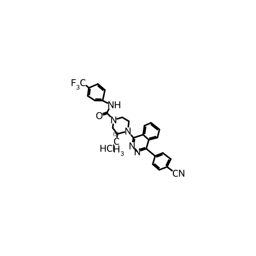 C[C@H]1CN(C(=O)Nc2ccc(C(F)(F)F)cc2)CCN1c1nnc(-c2ccc(C#N)cc2)c2ccccc12.Cl